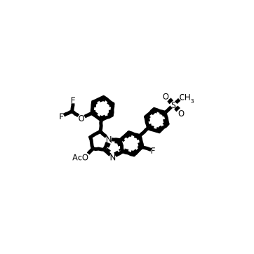 CC(=O)OC1CC(c2ccccc2OC(F)F)n2c1nc1cc(F)c(-c3ccc(S(C)(=O)=O)cc3)cc12